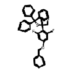 Fc1cc(OCc2ccccc2)cc(F)c1C1(SC(c2ccccc2)(c2ccccc2)c2ccccc2)COC1